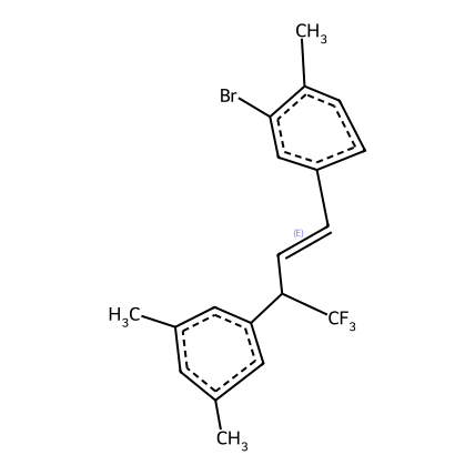 Cc1cc(C)cc(C(/C=C/c2ccc(C)c(Br)c2)C(F)(F)F)c1